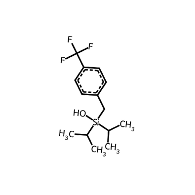 CC(C)[Si](O)(Cc1ccc(C(F)(F)F)cc1)C(C)C